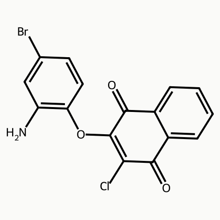 Nc1cc(Br)ccc1OC1=C(Cl)C(=O)c2ccccc2C1=O